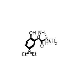 CCN(CC)c1ccc(O)c(N(N)C(=O)NN)c1